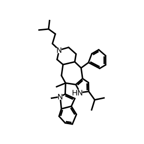 CC(C)CCN1CCC2C(C1)CC(C)(c1cc3ccccc3n1C)c1[nH]c(C(C)C)cc1C2c1ccccc1